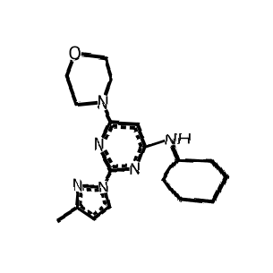 Cc1ccn(-c2nc(NC3CCCCC3)cc(N3CCOCC3)n2)n1